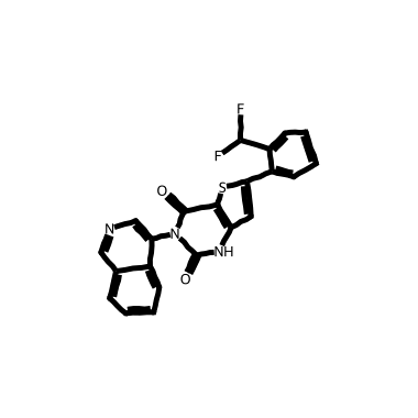 O=c1[nH]c2cc(-c3ccccc3C(F)F)sc2c(=O)n1-c1cncc2ccccc12